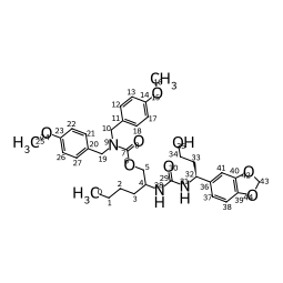 CCCCC(COC(=O)N(Cc1ccc(OC)cc1)Cc1ccc(OC)cc1)NC(=O)N[C@@H](CCO)c1ccc2c(c1)OCO2